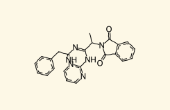 CC(/C(=N/C(=N)Cc1ccccc1)Nc1ncccn1)N1C(=O)c2ccccc2C1=O